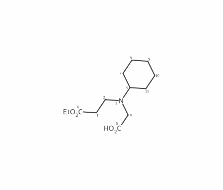 CCOC(=O)CCN(CC(=O)O)C1CCCCC1